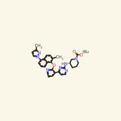 Cc1ccn(-c2cccc3c(Oc4ncccc4-c4ccnc(N[C@H]5CCCN(C(=O)OC(C)(C)C)C5)n4)c(C)ccc23)n1